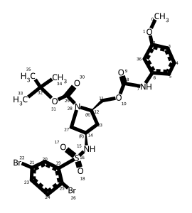 COc1cccc(NC(=O)OC[C@H]2C[C@@H](NS(=O)(=O)c3cc(Br)ccc3Br)CN2C(=O)OC(C)(C)C)c1